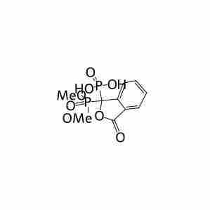 COP(=O)(OC)C1(P(=O)(O)O)OC(=O)c2ccccc21